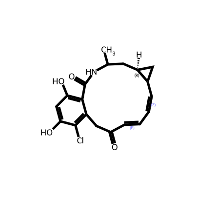 CC1C[C@H]2CC2/C=C\C=C\C(=O)Cc2c(Cl)c(O)cc(O)c2C(=O)N1